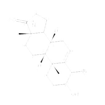 C[C@]12CCC(O)C(Br)C1=CC[C@@H]1[C@H]2CC[C@]2(C)C(=O)CC[C@@H]12